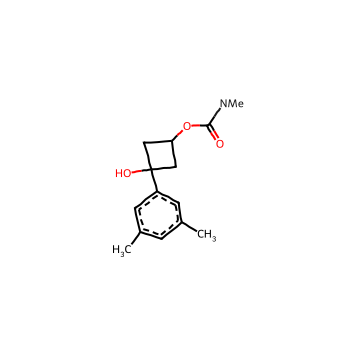 CNC(=O)OC1CC(O)(c2cc(C)cc(C)c2)C1